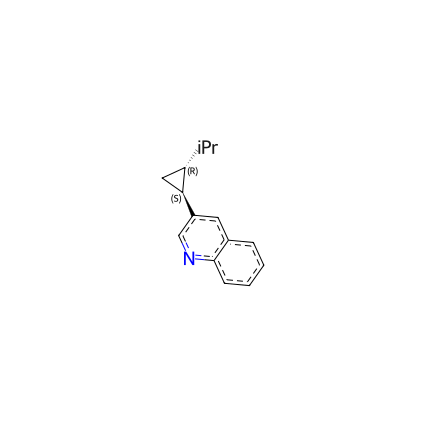 CC(C)[C@H]1C[C@@H]1c1cnc2ccccc2c1